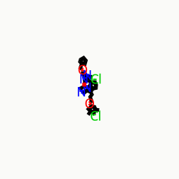 Cc1cc(OCCCc2c3n(c4c(-c5c(C)nc(COCc6ccccc6)nc5C)c(Cl)ccc24)[C@H](C)CN=C3)cc(C)c1Cl